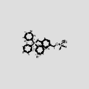 CC(C)(C)[Si](C)(C)OCc1ccc(C[P+](c2ccccc2)(c2ccccc2)c2ccccc2)cc1.[Br-]